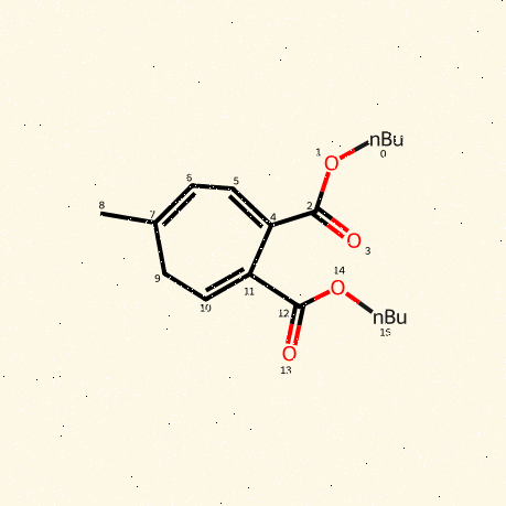 CCCCOC(=O)C1=CC=C(C)CC=C1C(=O)OCCCC